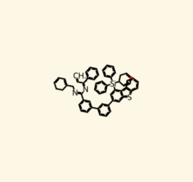 C=C/C(=N\C(=N/CC1=CC=CCC1)c1cccc(-c2cccc(-c3cc([Si](c4ccccc4)(c4ccccc4)C4C=CC=CC4)c4c(c3)sc3ccccc34)c2)c1)c1ccccc1